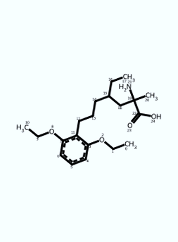 CCOc1cccc(OCC)c1CCCC(CC)CC(C)(N)C(=O)O